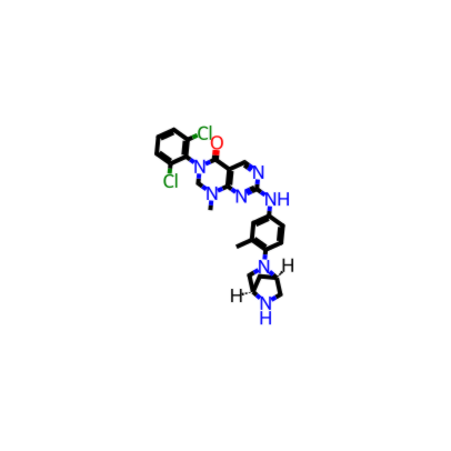 Cc1cc(Nc2ncc3c(n2)N(C)CN(c2c(Cl)cccc2Cl)C3=O)ccc1N1C[C@H]2C[C@@H]1CN2